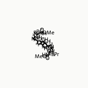 CCCN(Cc1ncc(-c2ccc3c(c2)C(C)(C)c2cc(-c4cnc(CN(CCC)C(=O)CNC(=O)OC)[nH]4)ccc2-3)[nH]1)C(=O)CNC(=O)OC